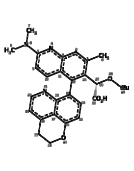 Cc1cc2nc(N(C)C)ccc2c(-c2ccc3c4c(ccnc24)CCO3)c1[C@H](OC(C)(C)C)C(=O)O